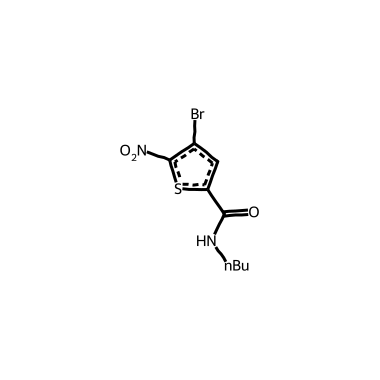 CCCCNC(=O)c1cc(Br)c([N+](=O)[O-])s1